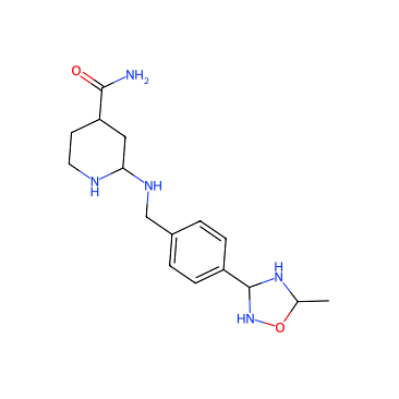 CC1NC(c2ccc(CNC3CC(C(N)=O)CCN3)cc2)NO1